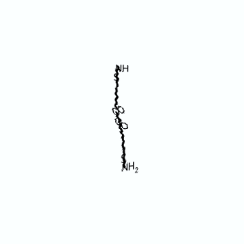 CNCCSCCCCCCCCCCC(=O)OCCCOC(=O)CCCCCCCCCCSCCN